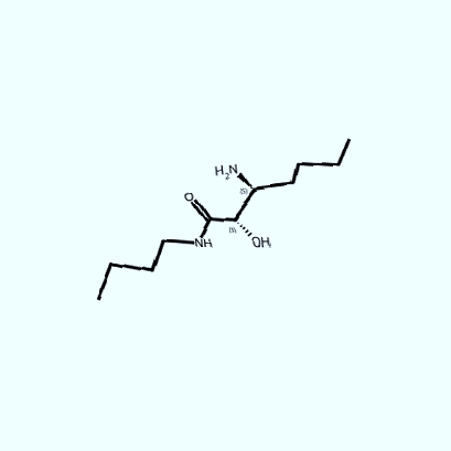 CCCCNC(=O)[C@@H](O)[C@@H](N)CCCC